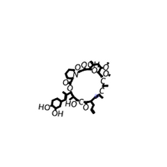 C=CCC1/C=C(\C)CC(C)CC(OC)C2OC(O)(C(=O)C(=O)N3CCCCC3C(=O)OC(C(C)=CC3CCC(O)C(O)C3)C(C)C(O)CC1=O)C(C)CC2OC